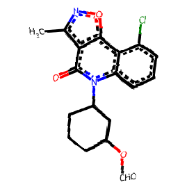 Cc1noc2c1c(=O)n(C1CCCC(OC=O)C1)c1cccc(Cl)c21